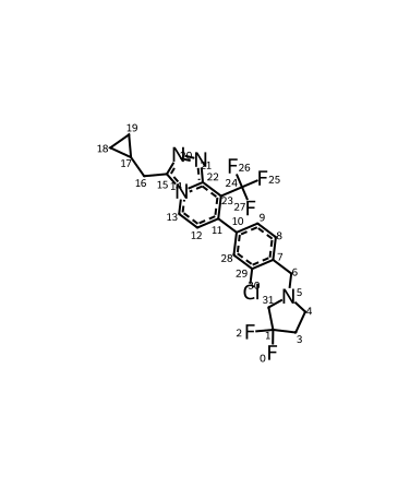 FC1(F)CCN(Cc2ccc(-c3ccn4c(CC5CC5)nnc4c3C(F)(F)F)cc2Cl)C1